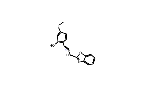 COc1ccc(/C=N/Nc2nc3ccccc3o2)c(O)c1